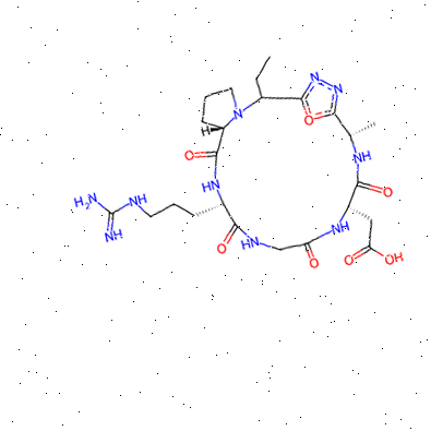 CCC1c2nnc(o2)[C@H](C)NC(=O)[C@H](CC(=O)O)NC(=O)CNC(=O)[C@H](CCCNC(=N)N)NC(=O)[C@@H]2CCCN12